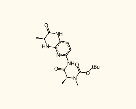 C[C@@H]1Nc2nc(NC(=O)[C@H](C)N(C)C(=O)OC(C)(C)C)ccc2NC1=O